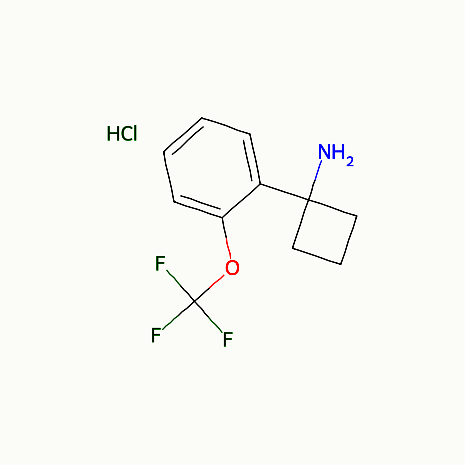 Cl.NC1(c2ccccc2OC(F)(F)F)CCC1